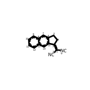 [C-]#[N+]/C(C#N)=C1\CCc2cc3ccccc3cc21